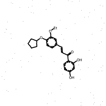 CCOc1cc(/C=C/C(=O)c2ccc(O)cc2O)ccc1OC1CCCC1